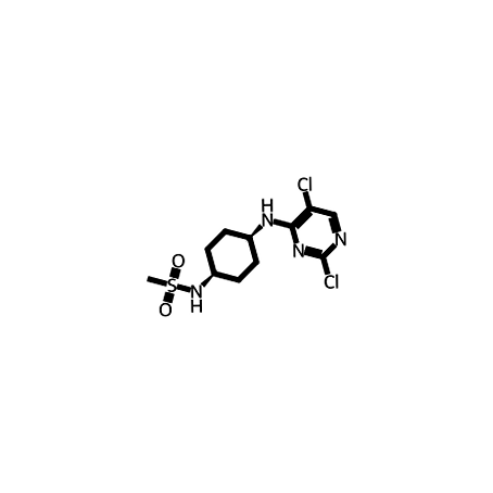 CS(=O)(=O)N[C@H]1CC[C@@H](Nc2nc(Cl)ncc2Cl)CC1